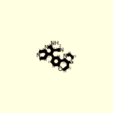 N#Cc1c(N)nc2cnccc2c1-c1ccc2c(c1)C1=C(C=CO2)SCC=N1